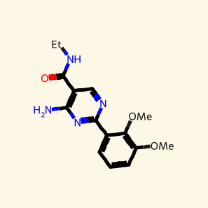 CCNC(=O)c1cnc(-c2cccc(OC)c2OC)nc1N